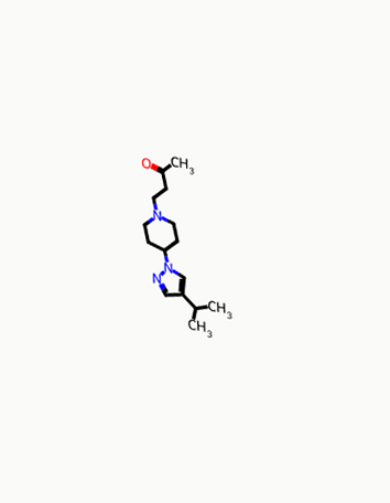 CC(=O)CCN1CCC(n2cc(C(C)C)cn2)CC1